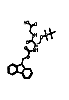 CC(C)(C)[Si](C)(C)OC[C@H](NC(=O)OCC1c2ccccc2-c2ccccc21)C(=O)NCC(=O)O